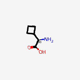 N[C@@H](C(=O)O)C1CCC1